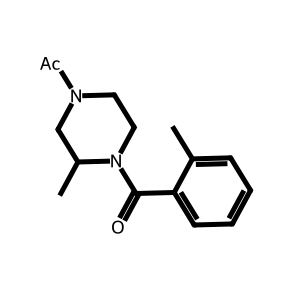 CC(=O)N1CCN(C(=O)c2ccccc2C)C(C)C1